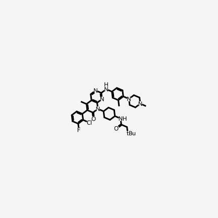 Cc1cc(Nc2ncc3c(C)c(-c4cccc(F)c4Cl)c(=O)n(C4CCC(NC(=O)CC(C)(C)C)CC4)c3n2)ccc1N1CCN(C)CC1